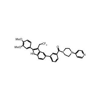 COc1ccc(-c2[nH]c3ccc(-c4cccc(C(=O)N5CCN(c6ccncc6)CC5)c4)cc3c2CC(F)(F)F)cc1OC